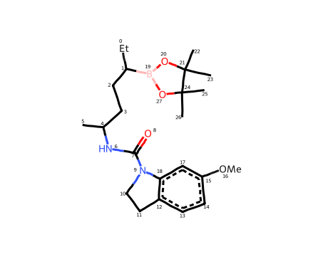 CCC(CCC(C)NC(=O)N1CCc2ccc(OC)cc21)B1OC(C)(C)C(C)(C)O1